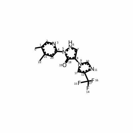 Cc1cnc(-n2[nH]cc(-n3cnc(C(F)(F)F)c3)c2=O)cc1C